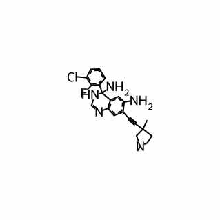 CN1CCC(C)(C#Cc2cc3c(cc2N)C(N)(c2cccc(Cl)c2F)NC=N3)C1